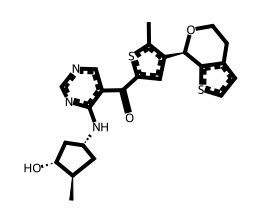 Cc1sc(C(=O)c2cncnc2N[C@@H]2C[C@@H](C)[C@H](O)C2)cc1[C@H]1OCCc2ccsc21